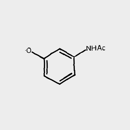 CC(=O)Nc1cccc([O])c1